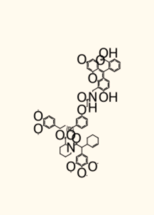 COc1ccc(CC[C@@H](OC(=O)C2CCCCN2C(=O)C(c2cc(OC)c(OC)c(OC)c2)C2C=CCCC2)c2cccc(OCC(=O)NCc3c(O)ccc4c(-c5ccccc5C(=O)O)c5ccc(=O)cc-5oc34)c2)cc1OC